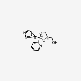 OC[C@@H]1CO[C@](c2ccccn2)([C@H]2c3nncn32)O1